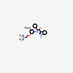 COc1cc(NC(C(=O)c2c[nH]c3ccccc23)c2ccccc2)cc(OCCN(C)C)c1